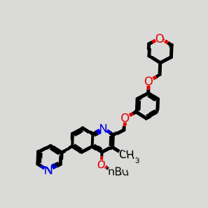 CCCCOc1c(C)c(COc2cccc(OCC3CCOCC3)c2)nc2ccc(-c3cccnc3)cc12